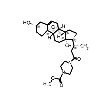 COC(=O)N1CCN(C(=O)C[C@@H](C)[C@H]2CC[C@H]3[C@@H]4CC=C5C[C@@H](O)CC[C@]5(C)[C@H]4CC[C@]23C)CC1